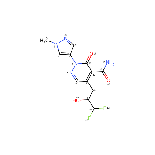 Cn1cc(-n2ncc(CC(O)C(F)F)c(C(N)=O)c2=O)cn1